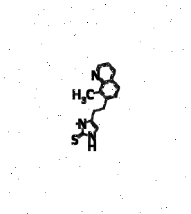 Cc1c(CCC2=CNC(=S)[N]2)ccc2cccnc12